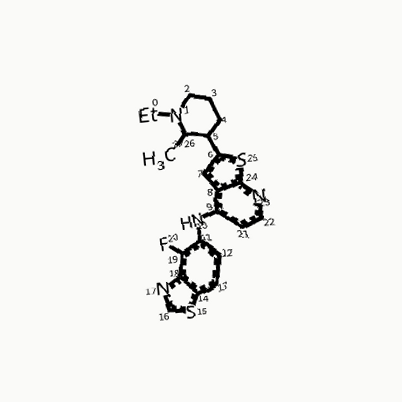 CCN1CCCC(c2cc3c(Nc4ccc5scnc5c4F)ccnc3s2)C1C